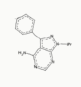 CC(C)n1nc(-c2cc[c]cc2)c2c(N)ncnc21